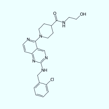 O=C(NCCO)C1CCN(c2nccc3nc(NCc4ccccc4Cl)ncc23)CC1